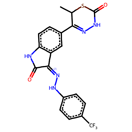 CC1SC(=O)NN=C1c1ccc2c(c1)/C(=N/Nc1ccc(C(F)(F)F)cc1)C(=O)N2